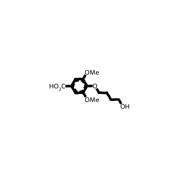 COc1cc(C(=O)O)cc(OC)c1OCCCCO